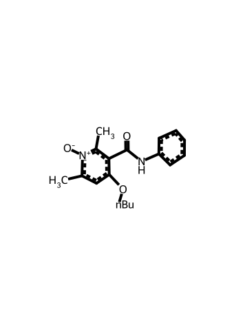 CCCCOc1cc(C)[n+]([O-])c(C)c1C(=O)Nc1ccccc1